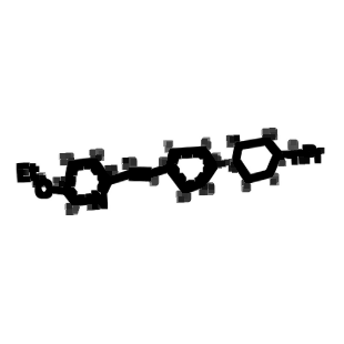 CCC[C@H]1CC[C@H](c2ccc(C#Cc3ccc(OCC)cn3)cc2)CC1